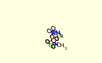 Cn1c(-c2ccc(Cl)cc2)c(C(=C2C=CC(=[N+](C)C3(C4(N)CCCCC4)CCCCC3)C=C2)c2ccccc2Cl)c2ccccc21